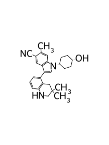 Cc1cc2c(cc1C#N)c(-c1cccc3c1CC(C)(C)CN3)cn2[C@H]1CC[C@@H](O)CC1